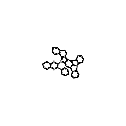 c1ccc(-c2nc3ccccc3nc2-n2c3cc4c5ccccc5n5c6ccccc6c(c3c3ccc6ccccc6c32)c45)cc1